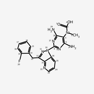 CN(C(=O)O)c1c(N)nc(-n2nc(Cc3ccccc3F)c3ncccc32)nc1N